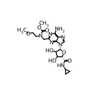 COCCN(Cc1nc(N)c2ncn([C@@H]3O[C@H](C(=O)NC4CC4)C(O)C3O)c2n1)C(=O)OC